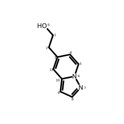 OCCc1ccn2nccc2c1